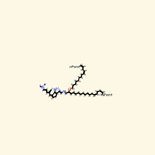 C=C(CCCN(C)C)CC1CCC(C/C=N/CC(CCCCCCCCCC/C=C\C/C=C\CCCCC)OCCCCCCCC/C=C\C/C=C\CCCCC)C1N